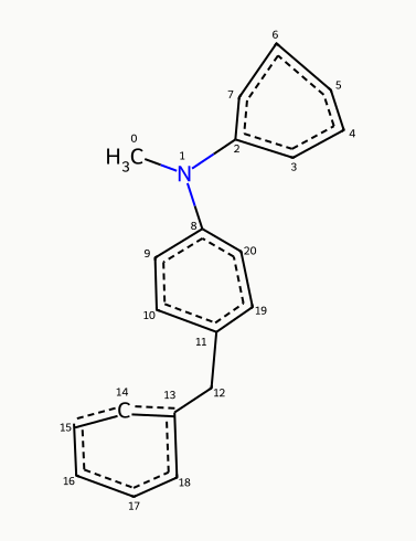 CN(c1ccccc1)c1ccc(Cc2ccccc2)cc1